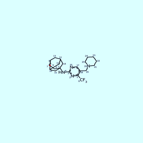 FC(F)(F)c1nc(NC23CCC4CC(CC(C4)C2)C3)ncc1CN1CCCCC1